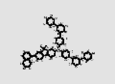 CC1(C)c2cc(-c3cccc4ccccc34)ccc2-c2ccc(N(c3ccc(-c4cccc(-c5ccccc5)c4)cc3)c3ccc(-c4cccc(-c5ccccc5)c4)cc3)cc21